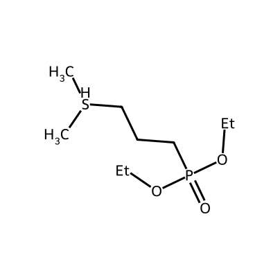 CCOP(=O)(CCC[SH](C)C)OCC